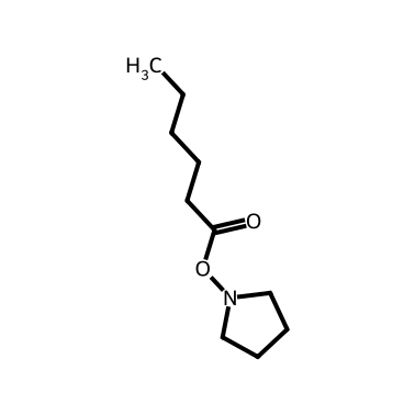 CCCCCC(=O)ON1CCCC1